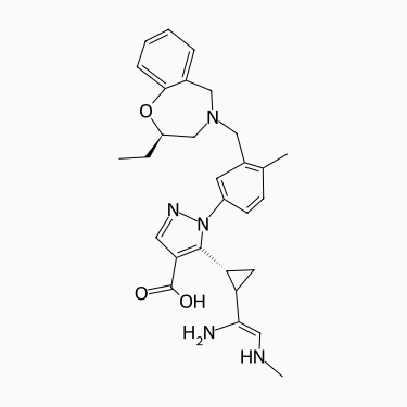 CC[C@@H]1CN(Cc2cc(-n3ncc(C(=O)O)c3[C@@H]3CC3/C(N)=C/NC)ccc2C)Cc2ccccc2O1